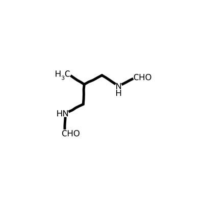 CC(CNC=O)CNC=O